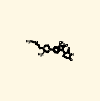 CNCCCN1CCN(c2ccc3c(c2)n(C)c(=O)n3C2CCC(=O)NC2=O)C[C@H]1C